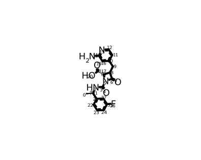 C[C@@H](NC(=O)N1C(=O)C(Cc2ccnc(N)c2)[C@H]1C(=O)O)c1cccc(F)c1